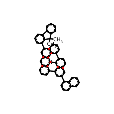 CC1(C)c2ccccc2-c2cccc(-c3ccc(N(c4ccccc4-c4cccc(-c5cccc6ccccc56)c4)c4ccccc4-c4ccccc4-c4ccccc4)cc3)c21